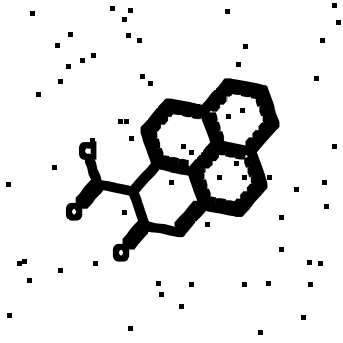 O=C(Cl)C1C(=O)C=c2ccc3cccc4ccc1c2c43